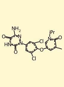 Cc1cc(Oc2c(Cl)cc(-n3nc(N)c(=O)[nH]c3=O)cc2Cl)cn(C(C)C)c1=O